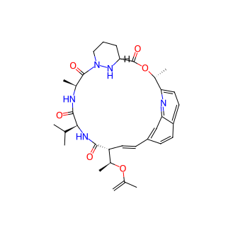 C=C(C)O[C@@H](C)[C@H]1/C=C/c2ccc3ccc(nc3c2)[C@@H](C)OC(=O)[C@@H]2CCCN(N2)C(=O)[C@H](C)NC(=O)[C@H](C(C)C)NC1=O